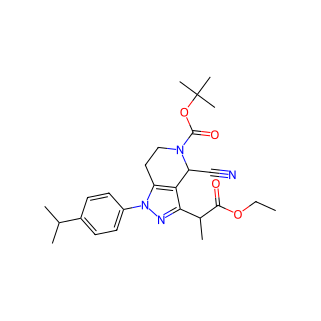 CCOC(=O)C(C)c1nn(-c2ccc(C(C)C)cc2)c2c1C(C#N)N(C(=O)OC(C)(C)C)CC2